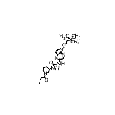 C[Si](C)(C)CCOCn1ccc2nc(NC(=O)NC3CCCN(C(=O)CI)C3)cnc21